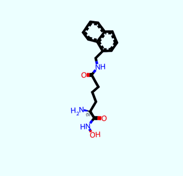 N[C@@H](CCCC(=O)NCc1cccc2ccccc12)C(=O)NO